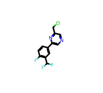 Fc1ccc(-c2cncc(CCl)n2)cc1C(F)F